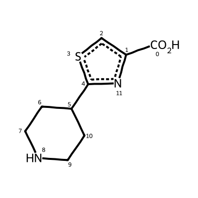 O=C(O)c1csc(C2CCNCC2)n1